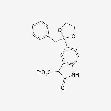 CCOC(=O)C1C(=O)Nc2ccc(C3(Cc4ccccc4)OCCO3)cc21